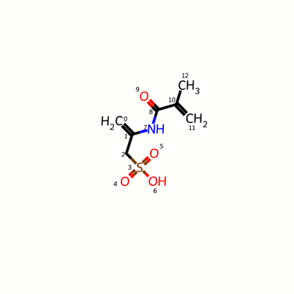 C=C(CS(=O)(=O)O)NC(=O)C(=C)C